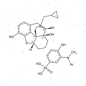 CC(=O)N(C)c1cc([As](=O)(O)O)ccc1O.Oc1ccc2c3c1O[C@H]1CCC[C@@]4(O)[C@@H](C2)N(CC2CC2)CC[C@]314